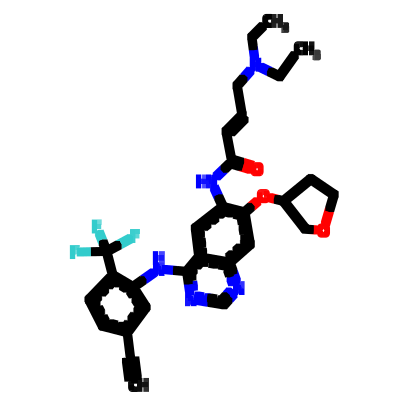 C#Cc1ccc(C(F)(F)F)c(Nc2ncnc3cc(OC4CCOC4)c(NC(=O)C=CCN(CC)CC)cc23)c1